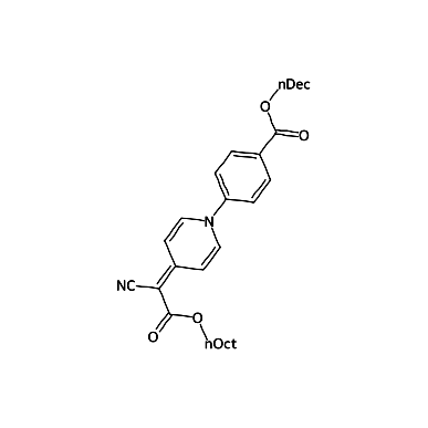 CCCCCCCCCCOC(=O)c1ccc(N2C=CC(=C(C#N)C(=O)OCCCCCCCC)C=C2)cc1